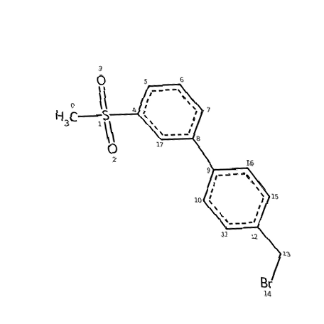 CS(=O)(=O)c1cccc(-c2ccc(CBr)cc2)c1